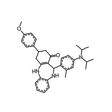 COc1ccc(C2CC(=O)C3=C(C2)Nc2ccccc2NC3c2ccc(N(C(C)C)C(C)C)cc2C)cc1